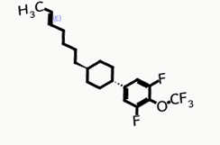 C/C=C/CCCC[C@H]1CC[C@H](c2cc(F)c(OC(F)(F)F)c(F)c2)CC1